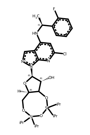 CC(C)[Si]1(C(C)C)OC[C@H]2O[C@@H](n3ncc4c(N[C@@H](C)c5ccccc5F)cc(Cl)nc43)[C@H](O)C2O[Si](C(C)C)(C(C)C)O1